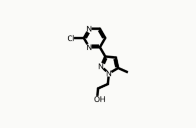 Cc1cc(-c2ccnc(Cl)n2)nn1CCO